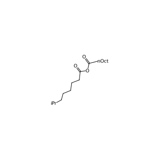 CCCCCCCCC(=O)OC(=O)CCCCCC(C)C